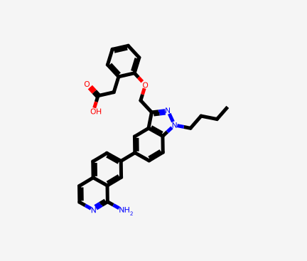 CCCCn1nc(COc2ccccc2CC(=O)O)c2cc(-c3ccc4ccnc(N)c4c3)ccc21